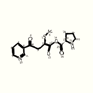 CC(=O)SC(CC(=O)c1cccnc1)C(=O)OC(=O)[C@@H]1CCCN1